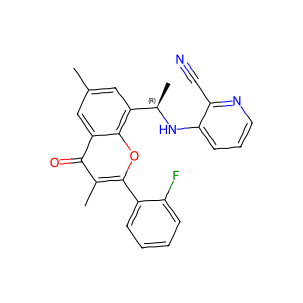 Cc1cc([C@@H](C)Nc2cccnc2C#N)c2oc(-c3ccccc3F)c(C)c(=O)c2c1